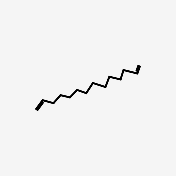 C=C[CH]CCCCCCCCCC=C